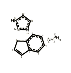 C1=Cc2ccccc2C1.N.P.c1c[nH]nn1